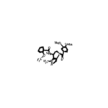 COc1ccc(C(=O)N2CCC(NC(=O)c3ccccc3OC(F)(F)F)c3c2cnn3C)cc1OC